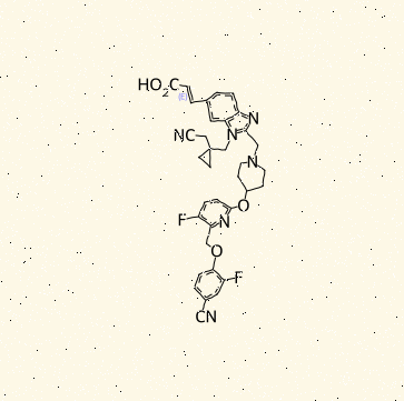 N#CCC1(Cn2c(CN3CCC(Oc4ccc(F)c(COc5ccc(C#N)cc5F)n4)CC3)nc3ccc(/C=C/C(=O)O)cc32)CC1